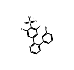 NS(=O)(=O)c1c(F)cc(-c2ncccc2-c2cccc(Br)c2)cc1F